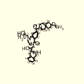 CCN1CCN(C[C@@H](O)[C@@H]2Cc3ccccc3CN2)C(=O)c2ccc(C(=O)N3CCC4(CCC(OC)CC4)CC3)cc21.Cl